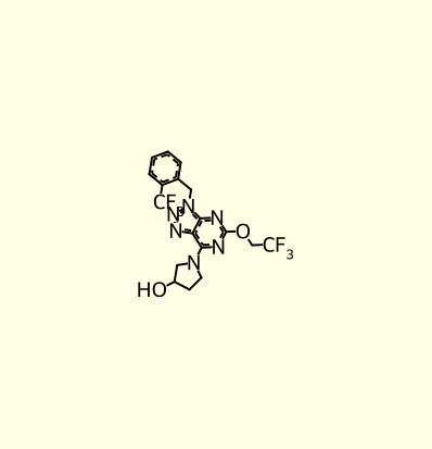 OC1CCN(c2nc(OCC(F)(F)F)nc3c2nnn3Cc2ccccc2C(F)(F)F)C1